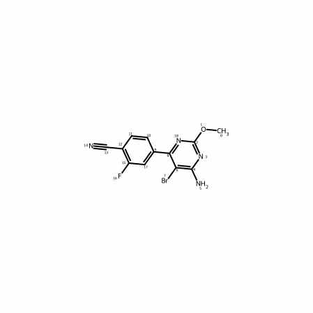 COc1nc(N)c(Br)c(-c2ccc(C#N)c(F)c2)n1